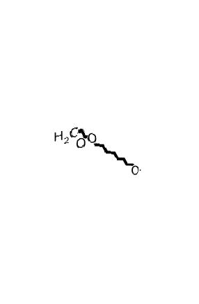 C=CC(=O)OCCCCCCCC[O]